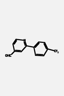 O=Cc1ccnc(-c2ccc(C(F)(F)F)cc2)c1